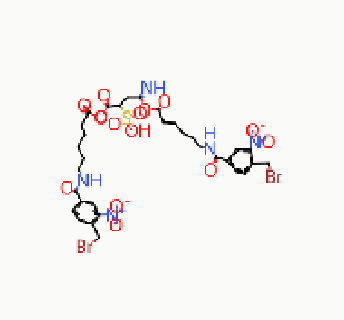 N=C(CC(C(=O)OC(=O)CCCCCNC(=O)c1ccc(CBr)c([N+](=O)[O-])c1)S(=O)(=O)O)OC(=O)CCCCCNC(=O)c1ccc(CBr)c([N+](=O)[O-])c1